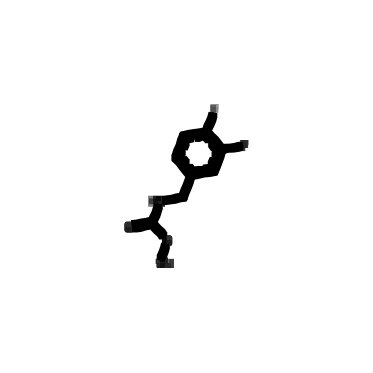 CC(C)(C)OC(=O)NCc1ccc(F)c(F)c1